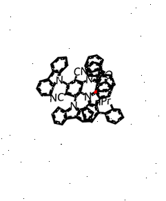 CCCc1ccccc1-c1cccc2c1c1ccc3oc4ccccc4c3c1n2-c1c(-n2c3ccccc3c3ccccc32)c(C#N)c(-n2c3ccccc3c3ccccc32)c(C#N)c1-n1c2ccccc2c2ccccc21